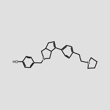 Oc1ccc(CN2CC3CC=C(c4ccc(CCN5CCCC5)cc4)C3C2)cc1